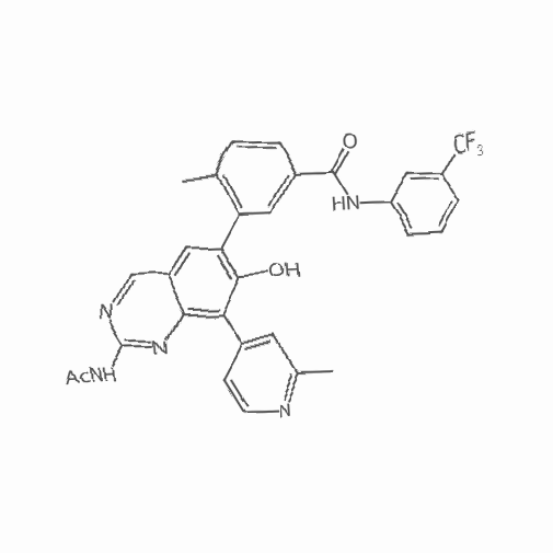 CC(=O)Nc1ncc2cc(-c3cc(C(=O)Nc4cccc(C(F)(F)F)c4)ccc3C)c(O)c(-c3ccnc(C)c3)c2n1